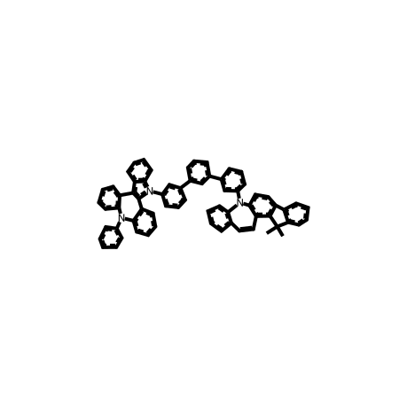 CC1(C)c2ccccc2-c2ccc3c(c21)C=Cc1ccccc1N3c1cccc(-c2cccc(-c3cccc(-n4c5c(c6ccccc64)-c4ccccc4N(c4ccccc4)c4ccccc4-5)c3)c2)c1